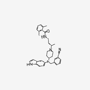 Cc1cccc(C)c1C(=O)NCCC(C)N1CCC(N(Cc2cccc(C#N)c2)c2ccc3[nH]ccc3c2)CC1